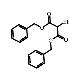 [CH2]CC(C(=O)OCc1ccccc1)C(=O)OCc1ccccc1